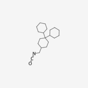 O=C=NCC1CCC(C2CCCCC2)(C2CCCCC2)CC1